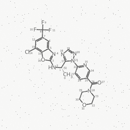 C[C@H](Nc1nc2cc(C(F)(F)F)cc(Cl)c2o1)c1ncnn1-c1ccc(C(=O)N2CCOCC2)cn1